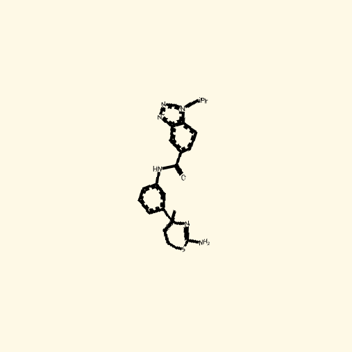 CC(C)n1nnc2cc(C(=O)Nc3cccc(C4(C)CCSC(N)=N4)c3)ccc21